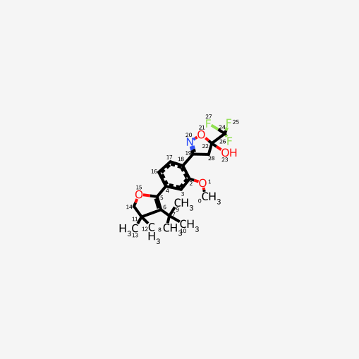 COc1cc(C2=C(C(C)(C)C)C(C)(C)CO2)ccc1C1=NOC(O)(C(F)(F)F)C1